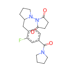 O=C(c1ccc(CC2CCCN2N2C(=O)CCC2=O)c(F)c1)N1CCCC1